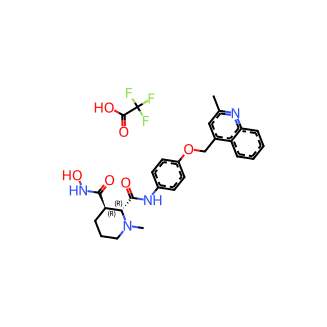 Cc1cc(COc2ccc(NC(=O)[C@H]3[C@H](C(=O)NO)CCCN3C)cc2)c2ccccc2n1.O=C(O)C(F)(F)F